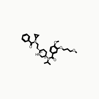 COCCCOc1cc(C(=O)N(C(C)C)[C@@H]2CC[C@H](CCN(C(=O)c3ccccc3)C3CC3)NC2)ccc1OC